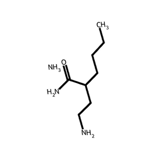 CCCCC(CCN)C(N)=O.N